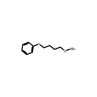 CC(C)(C)OCCCCSc1ccccc1